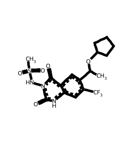 CC(OC1CCCC1)c1cc2c(=O)n(NS(C)(=O)=O)c(=O)[nH]c2cc1C(F)(F)F